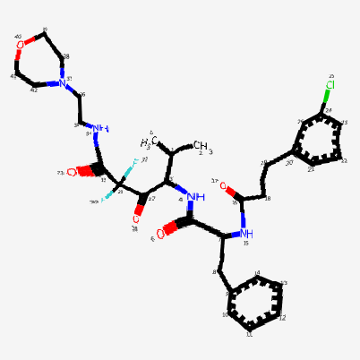 CC(C)C(NC(=O)C(Cc1ccccc1)NC(=O)CCc1cccc(Cl)c1)C(=O)C(F)(F)C(=O)NCCN1CCOCC1